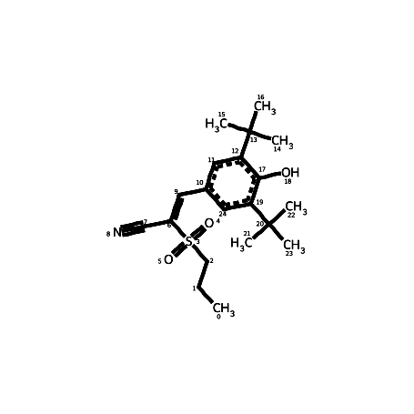 CCCS(=O)(=O)/C(C#N)=C\c1cc(C(C)(C)C)c(O)c(C(C)(C)C)c1